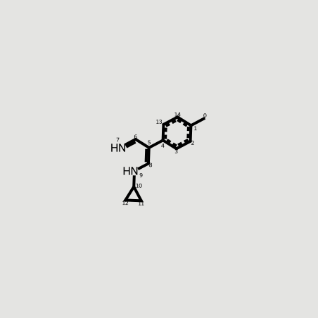 Cc1ccc(/C(C=N)=C/NC2CC2)cc1